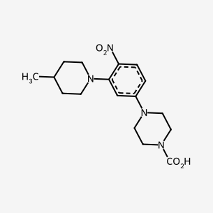 CC1CCN(c2cc(N3CCN(C(=O)O)CC3)ccc2[N+](=O)[O-])CC1